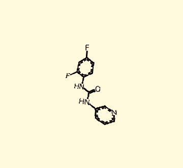 O=C(Nc1cccnc1)Nc1ccc(F)cc1F